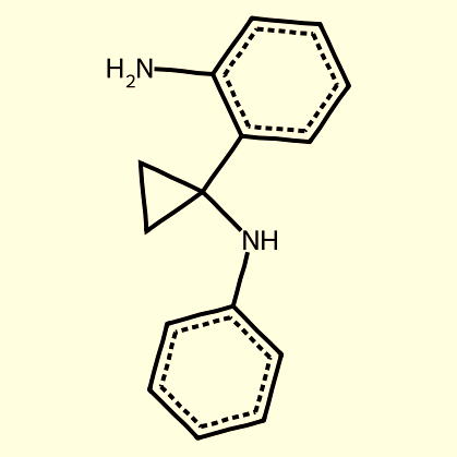 Nc1ccccc1C1(Nc2ccccc2)CC1